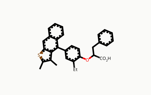 CCc1cc(-c2c3ccccc3cc3sc(C)c(C)c23)ccc1OC(Cc1ccccc1)C(=O)O